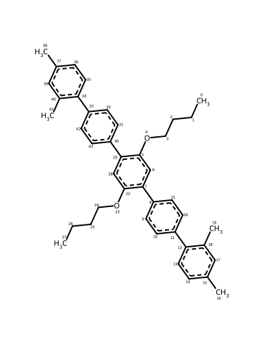 CCCCOc1cc(-c2ccc(-c3ccc(C)cc3C)cc2)c(OCCCC)cc1-c1ccc(-c2ccc(C)cc2C)cc1